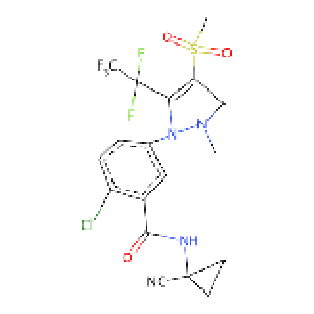 CN1CC(S(C)(=O)=O)=C(C(F)(F)C(F)(F)F)N1c1ccc(Cl)c(C(=O)NC2(C#N)CC2)c1